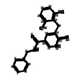 O=C(NCc1ccccc1)c1c[nH]c(=O)c(Cc2c(Cl)cccc2Cl)c1